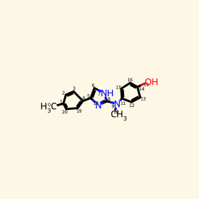 Cc1ccc(-c2c[nH]c(N(C)c3ccc(O)cc3)n2)cc1